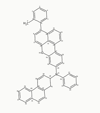 Cc1ccccc1-c1ccc2c3c(cccc13)-c1ccc(N(c3ccccc3)C3C=Cc4c(ccc5ccccc45)C3)cc1O2